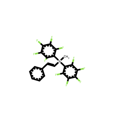 C[Si](C=Cc1ccccc1)(c1c(F)c(F)c(F)c(F)c1F)c1c(F)c(F)c(F)c(F)c1F